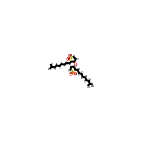 CC(C)CCCCCCCC1C(OC2CCS(=O)(=O)C2CCCCCCCC(C)C)CCS1(=O)=O